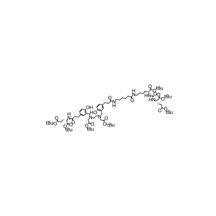 CC(C)(C)OC(=O)CC[C@H](NC(=O)CCc1ccc(O)c(CN(CCN(CC(=O)OC(C)(C)C)Cc2cc(CCC(=O)NCCCCCC(=O)NCCCC[C@H](NC(=O)N[C@@H](CCC(=O)OC(C)(C)C)C(=O)OC(C)(C)C)C(=O)OC(C)(C)C)ccc2O)CC(=O)OC(C)(C)C)c1)C(=O)OC(C)(C)C